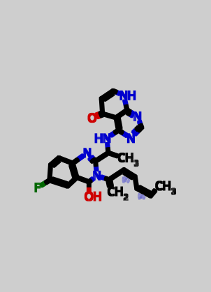 C=C(/C=C\C=C/C)N1C(C(C)Nc2ncnc3[nH]ccc(=O)c23)=Nc2ccc(F)cc2C1O